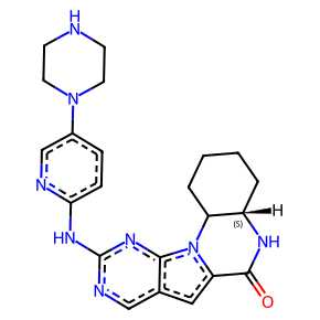 O=C1N[C@H]2CCCCC2n2c1cc1cnc(Nc3ccc(N4CCNCC4)cn3)nc12